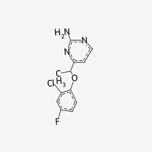 CC(Oc1ccc(F)cc1Cl)c1ccnc(N)n1